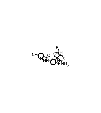 NC1=N[C@@]2(c3cc(NC(=O)c4ccc(Cl)cn4)ccc3F)CO[C@H](CF)[C@H]2CS1